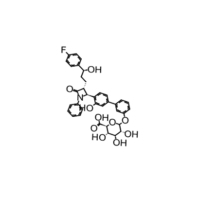 O=C(O)[C@H]1OC(Oc2cccc(-c3ccc([C@@H]4[C@@H](CC[C@H](O)c5ccc(F)cc5)C(=O)N4c4ccccc4)c(O)c3)c2)[C@H](O)[C@@H](O)[C@@H]1O